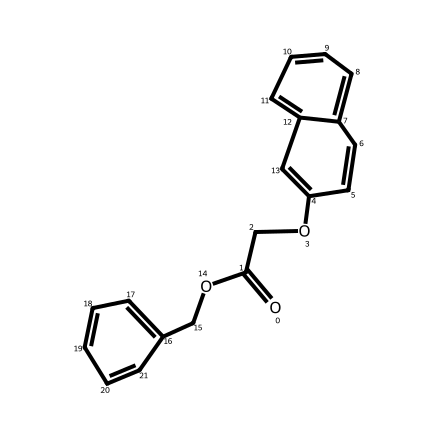 O=C(COc1ccc2ccccc2c1)OCc1ccccc1